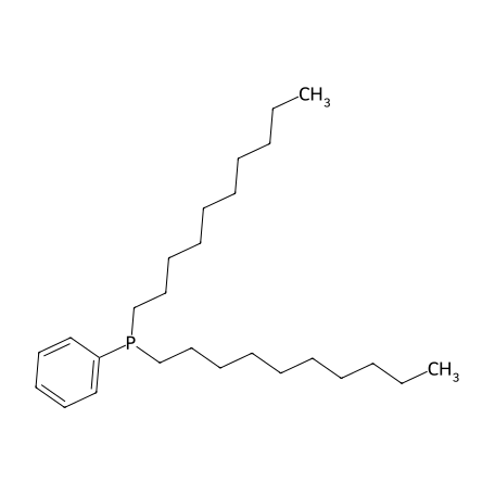 CCCCCCCCCCP(CCCCCCCCCC)c1ccccc1